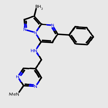 Bc1cnn2c(NCc3cnc(NC)nc3)cc(-c3ccccc3)nc12